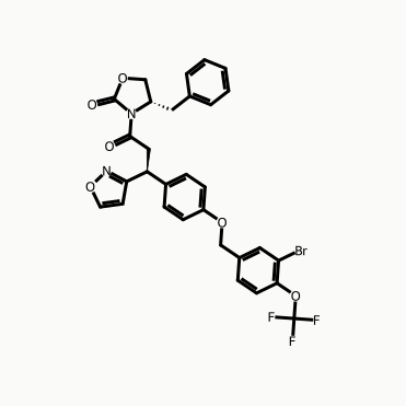 O=C(C[C@@H](c1ccc(OCc2ccc(OC(F)(F)F)c(Br)c2)cc1)c1ccon1)N1C(=O)OC[C@@H]1Cc1ccccc1